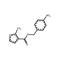 [CH2]c1sccc1C(=O)OCc1ccc([N+](=O)[O-])cc1